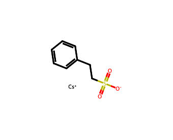 O=S(=O)([O-])CCc1ccccc1.[Cs+]